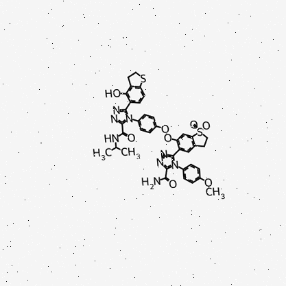 COc1ccc(-n2c(C(N)=O)nnc2-c2cc3c(cc2OOc2ccc(-n4c(C(=O)NC(C)C)nnc4-c4ccc5c(c4O)CCS5)cc2)S(=O)(=O)CC3)cc1